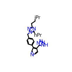 CCCc1nc(CCC(C)C)nn1Cc1ccc(-c2cnccc2-c2nnn[nH]2)cc1